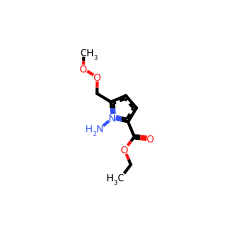 CCOC(=O)c1ccc(COOC)n1N